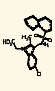 Cc1c(NS(=O)(=O)c2cccc3ccccc23)c2cc(Cl)ccc2n1CC(=O)O